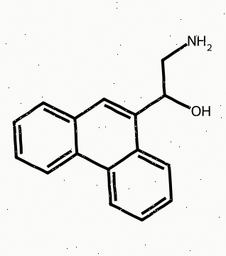 NCC(O)c1cc2ccccc2c2ccccc12